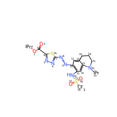 CC(C)OC(=O)c1nnc(N=Nc2cc3c(cc2NS(=O)(=O)C(F)(F)F)N(C(C)C)CCC3)s1